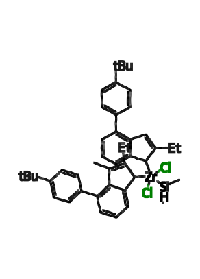 CCC1=Cc2c(-c3ccc(C(C)(C)C)cc3)cccc2[CH]1[Zr]([Cl])([Cl])([CH]1C(CC)=C(C)c2c(-c3ccc(C(C)(C)C)cc3)cccc21)[SiH](C)C